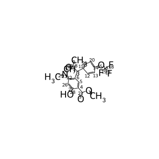 COC(=O)c1cc(C(C(C)=O)c2ccc(OC(F)(F)F)cc2)c(N(C)C)cc1O